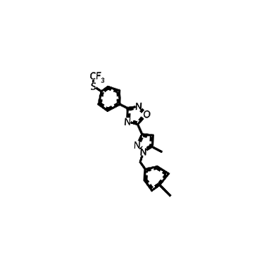 Cc1ccc(Cn2nc(-c3nc(-c4ccc(SC(F)(F)F)cc4)no3)cc2C)cc1